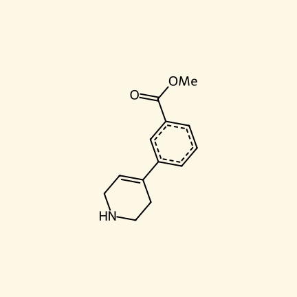 COC(=O)c1cccc(C2=CCNCC2)c1